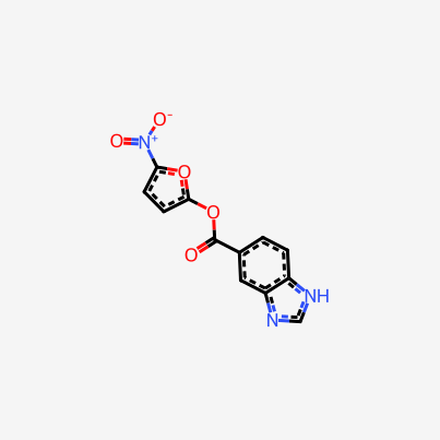 O=C(Oc1ccc([N+](=O)[O-])o1)c1ccc2[nH]cnc2c1